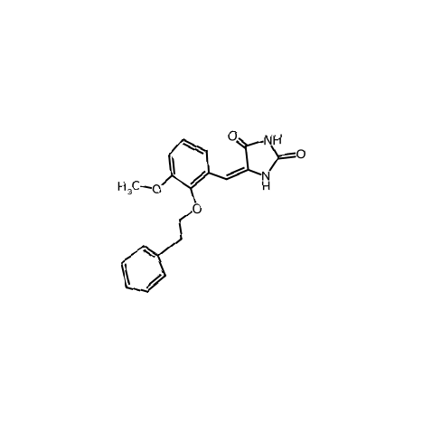 COc1cccc(C=C2NC(=O)NC2=O)c1OCCc1ccccc1